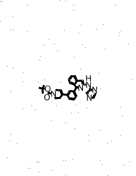 CC(C)(C)OC(=O)N1CC=C(c2cccc(-c3nc(Nc4cnccn4)cc4ccccc34)c2)CC1